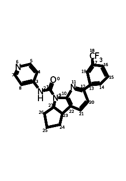 O=C(Nc1ccncc1)N1c2nc(-c3cccc(C(F)(F)F)c3)ccc2C2CCCC21